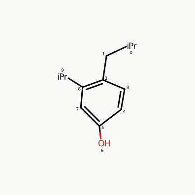 CC(C)Cc1ccc(O)cc1C(C)C